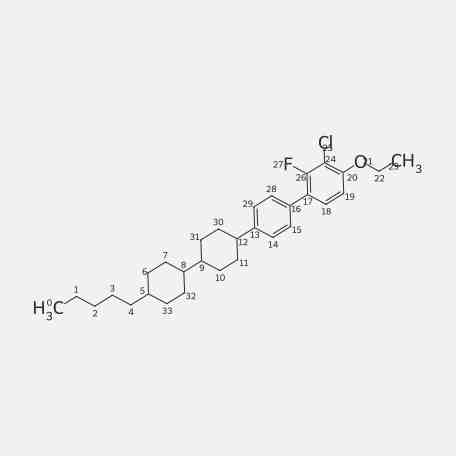 CCCCCC1CCC(C2CCC(c3ccc(-c4ccc(OCC)c(Cl)c4F)cc3)CC2)CC1